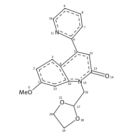 COc1ccc2c(-c3ccccn3)cc(=O)n(CC3OCCO3)c2c1